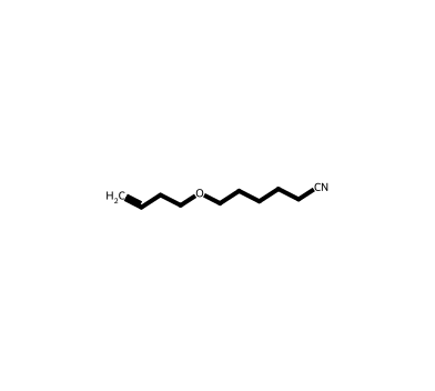 C=CCCOCCCCCC#N